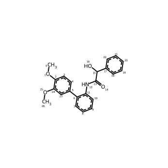 COc1ccc(-c2ccccc2NC(=O)C(O)c2ccccc2)cc1OC